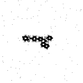 c1ccc2c(-c3nc4ccccc4nc3-c3ccc(-c4ccc(-c5nc6ccccc6o5)cc4)cc3)cccc2c1